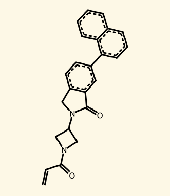 C=CC(=O)N1CC(N2Cc3ccc(-c4cccc5ccccc45)cc3C2=O)C1